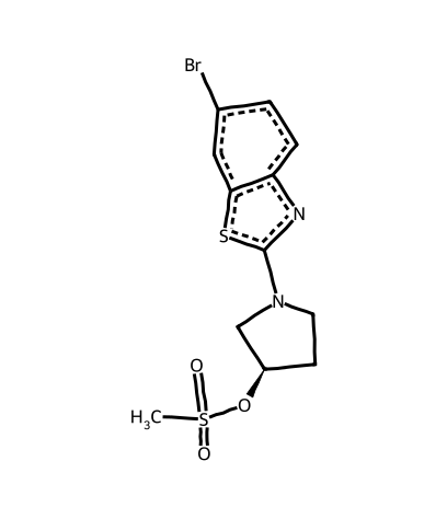 CS(=O)(=O)O[C@@H]1CCN(c2nc3ccc(Br)cc3s2)C1